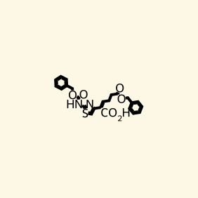 O=C(CCC=C(C(=O)O)c1csc(NC(=O)OCc2ccccc2)n1)OCc1ccccc1